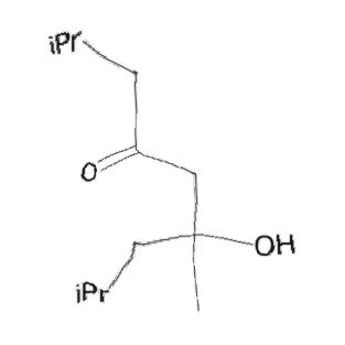 CC(C)CC(=O)CC(C)(O)CC(C)C